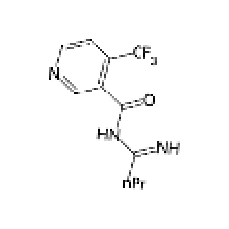 CCCC(=N)NC(=O)c1cnccc1C(F)(F)F